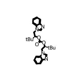 CC(C)(C)[C@@H](Cn1cnc2ccccc21)OC(=O)O[C@H](Cn1cnc2ccccc21)C(C)(C)C